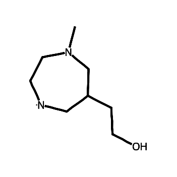 CN1CC[N]CC(CCO)C1